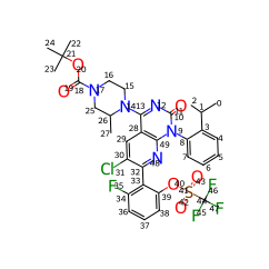 CC(C)c1ccccc1-n1c(=O)nc(N2CCN(C(=O)OC(C)(C)C)CC2C)c2cc(Cl)c(-c3c(F)cccc3OS(=O)(=O)C(F)(F)F)nc21